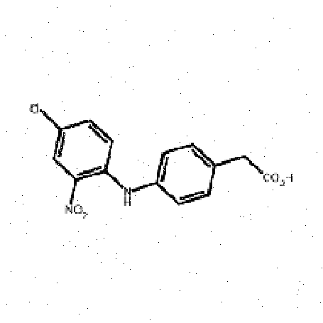 O=C(O)Cc1ccc(Nc2ccc(Cl)cc2[N+](=O)[O-])cc1